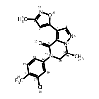 Cc1cc(-c2cnn3c2C(=O)N(c2ccc(C(F)(F)F)c(Cl)c2)C[C@@H]3C)on1